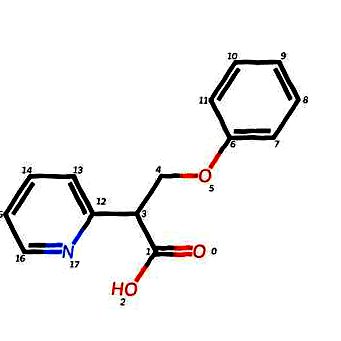 O=C(O)C(COc1ccccc1)c1ccccn1